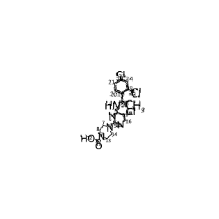 C[C@@H](Nc1nc(N2CCN(C(=O)O)CC2)ncc1Cl)c1ccc(Cl)cc1Cl